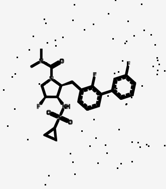 CN(C)C(=O)N1C[C@H](F)[C@H](NS(=O)(=O)C2CC2)[C@@H]1Cc1cccc(-c2cccc(F)c2)c1F